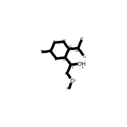 COCC(O)C1CC(C)CCC1C(C)C